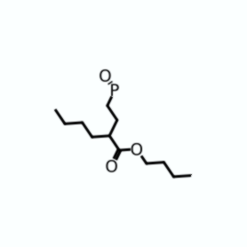 CCCCOC(=O)C(CCCC)CCP=O